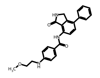 COCCNc1ccc(C(=O)Nc2ccc(-c3ccccc3)c3c2C(=O)NC3)cc1